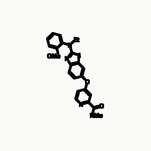 CCN(c1nc2ccc(Oc3ccnc(C(=O)NC)c3)cc2s1)c1ccccc1OC